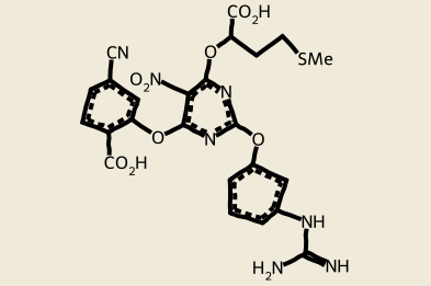 CSCCC(Oc1nc(Oc2cccc(NC(=N)N)c2)nc(Oc2cc(C#N)ccc2C(=O)O)c1[N+](=O)[O-])C(=O)O